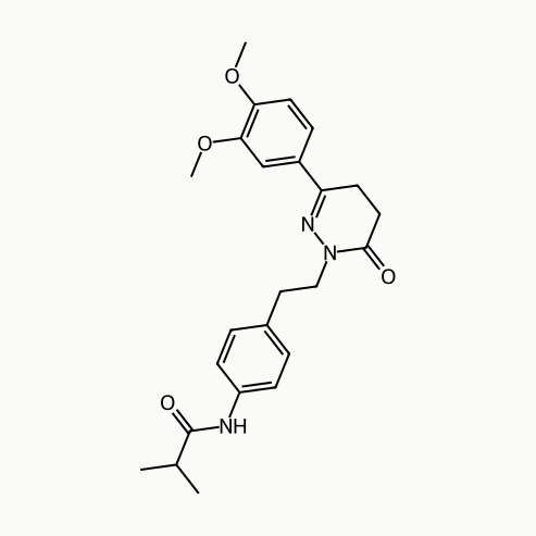 COc1ccc(C2=NN(CCc3ccc(NC(=O)C(C)C)cc3)C(=O)CC2)cc1OC